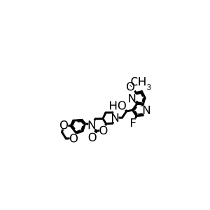 COc1ccc2ncc(F)c(C(O)CN3CCC4CN(c5ccc6c(c5)OCCO6)C(=O)OC4C3)c2n1